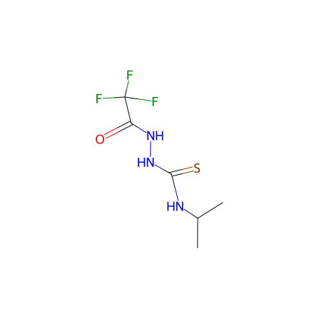 CC(C)NC(=S)NNC(=O)C(F)(F)F